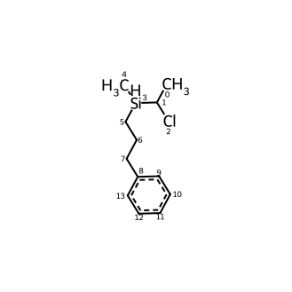 CC(Cl)[SiH](C)CCCc1ccccc1